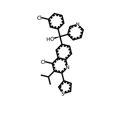 CC(C)c1c(-c2ccsc2)nc2ccc([C@@](O)(c3cccnc3)c3cccc(Cl)c3)cc2c1Cl